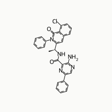 C[C@H](NC(=O)c1nc(-c2ccccc2)cnc1N)c1cc2cccc(Cl)c2c(=O)n1-c1ccccc1